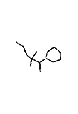 CCCC(C)(C)C(=O)N1CCCCC1